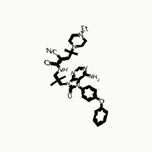 CCN1CCN(C(C)(C)C=C(C#N)C(=O)NCC(C)(C)Cn2c(=O)n(-c3ccc(Oc4ccccc4)cc3)c3c(N)ncnc32)CC1